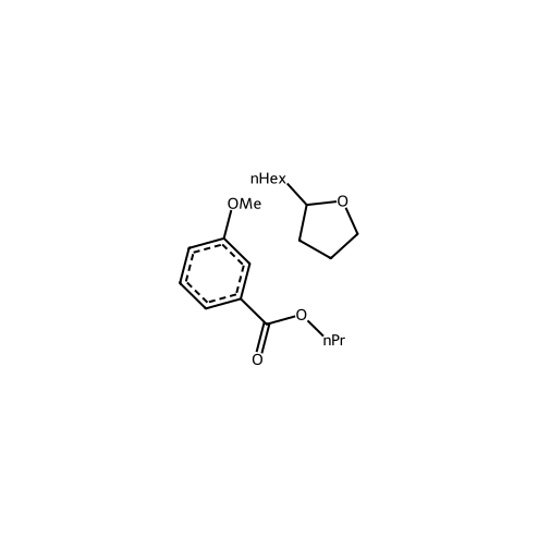 CCCCCCC1CCCO1.CCCOC(=O)c1cccc(OC)c1